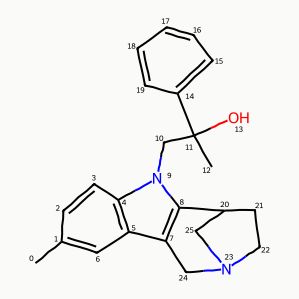 Cc1ccc2c(c1)c1c(n2CC(C)(O)c2ccccc2)C2CCN(C1)C2